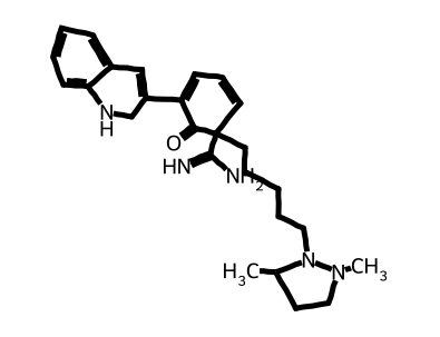 CC1CCN(C)N1CCCCCC1(C(=N)N)C=CC=C(C2=Cc3ccccc3NC2)C1=O